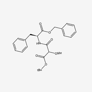 COC(C(=O)N[C@@H](Cc1ccccc1)C(=O)OCc1ccccc1)C(=O)OC(C)(C)C